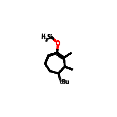 CC1=C(O[SiH3])CCCC(C(C)(C)C)C1C